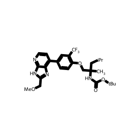 COCc1nc2c(-c3ccc(OCC(C)(CC(C)C)NC(=O)OC(C)(C)C)c(C(F)(F)F)c3)ccnc2[nH]1